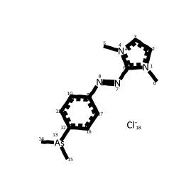 Cn1cc[n+](C)c1N=Nc1ccc([As](C)C)cc1.[Cl-]